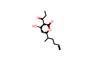 C=CCCC(C)c1cc(O)c(C(=O)CC)c(=O)o1